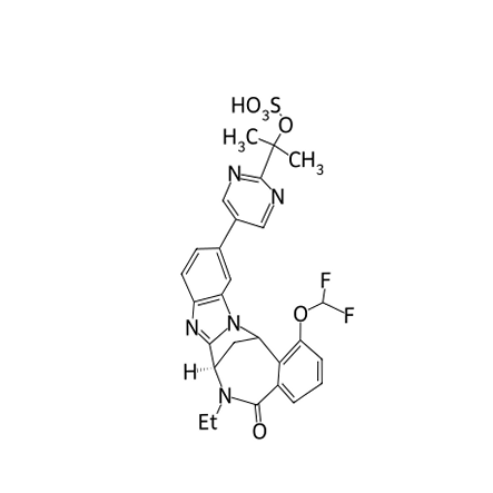 CCN1C(=O)c2cccc(OC(F)F)c2C2C[C@@H]1c1nc3ccc(-c4cnc(C(C)(C)OS(=O)(=O)O)nc4)cc3n12